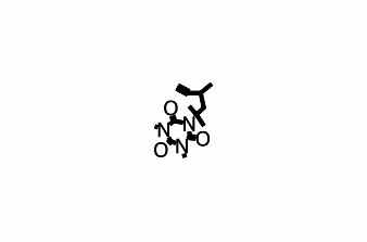 C#CC(C)CC(C)(C)n1c(=O)n(C)c(=O)n(C)c1=O